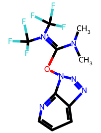 CN(C)C(On1nnc2cccnc21)=[N+](C(F)(F)F)C(F)(F)F